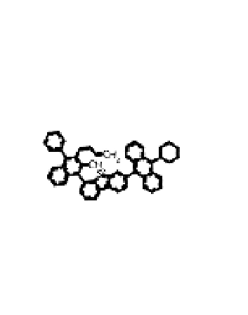 C=C/C=C\c1c(C)c(-c2cccc3c2sc2cc(-c4c5ccccc5c(C5CCCCC5)c5ccccc45)ccc23)c2ccccc2c1-c1ccccc1